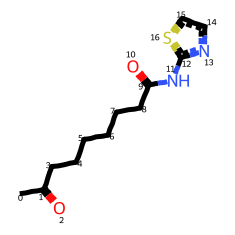 CC(=O)CCCCCCC(=O)Nc1nccs1